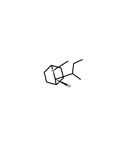 CCC(C)[C@@H]1C2CCC(CC2)N1C